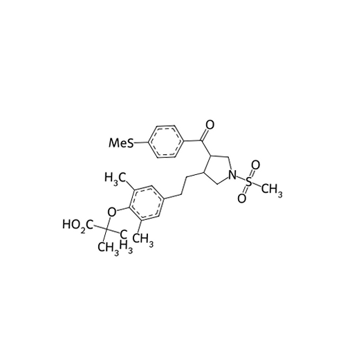 CSc1ccc(C(=O)C2CN(S(C)(=O)=O)CC2CCc2cc(C)c(OC(C)(C)C(=O)O)c(C)c2)cc1